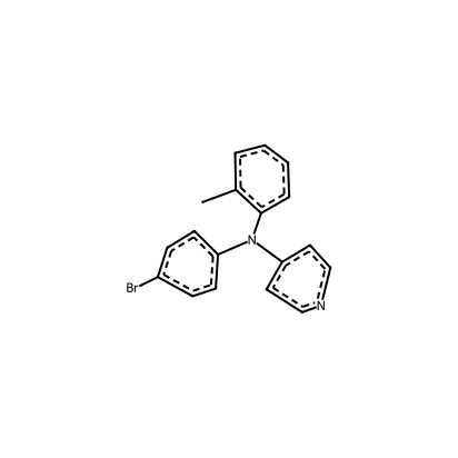 Cc1ccccc1N(c1ccncc1)c1ccc(Br)cc1